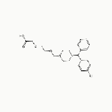 O=C(O)COCCOCN1CCN(C(c2ccccc2)C2C=CC(Cl)=CC2)CC1